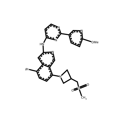 COc1ccc(-c2nccc(Nc3cc4c(C(C)C)ccc(N5CC(CS(C)(=O)=O)C5)c4cn3)n2)cn1